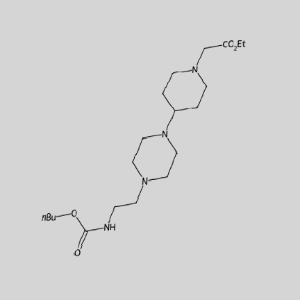 CCCCOC(=O)NCCN1CCN(C2CCN(CC(=O)OCC)CC2)CC1